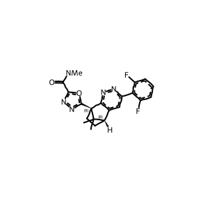 CNC(=O)c1nnc([C@@]23CC[C@@H](c4cc(-c5c(F)cccc5F)nnc42)C3(C)C)o1